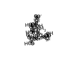 Nc1c(N=Nc2ccc(N=Nc3ccccc3S(=O)(=O)O)c3ccc(N=Nc4cc(OC=O)cc(C(=O)O)c4)c(O)c23)cc(S(=O)(=O)O)c2cc(S(=O)(=O)O)c(N=Nc3ccc([N+](=O)[O-])cc3)c(O)c12